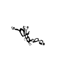 CN1CCN(C2CCN(c3cc4c(cc3Cl)C(=O)c3c([nH]c5cc(C#C[Si](C)(C)C)ccc35)C4(C)C)CC2)CC1